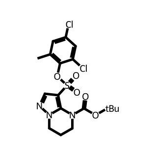 Cc1cc(Cl)cc(Cl)c1OS(=O)(=O)c1cnn2c1N(C(=O)OC(C)(C)C)CCC2